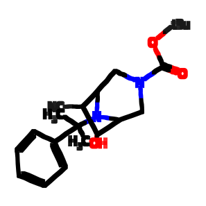 CC(C)(C)OC(=O)N1CC2C(O)C(C#N)C(C1)N2C(C)(C)c1ccccc1